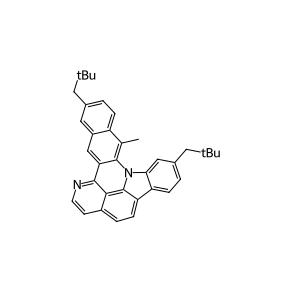 Cc1c2ccc(CC(C)(C)C)cc2cc2c3nccc4ccc5c6ccc(CC(C)(C)C)cc6n(c12)c5c43